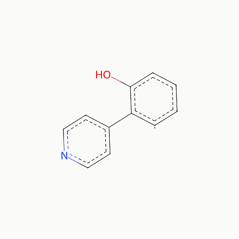 Oc1ccc[c]c1-c1ccncc1